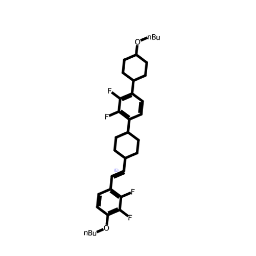 CCCCOc1ccc(/C=C/C2CCC(c3ccc(C4CCC(OCCCC)CC4)c(F)c3F)CC2)c(F)c1F